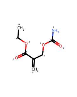 C=C(COC(N)=O)C(=O)OCC